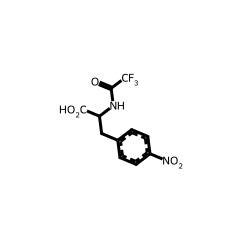 O=C(O)C(Cc1ccc([N+](=O)[O-])cc1)NC(=O)C(F)(F)F